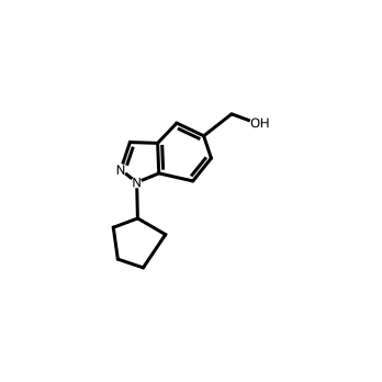 OCc1ccc2c(cnn2C2CCCC2)c1